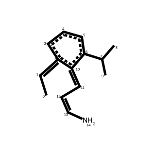 C/C=c1/cccc(C(C)C)/c1=C/C=C\N